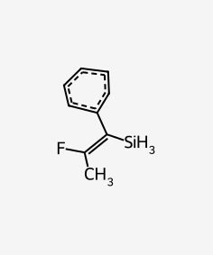 CC(F)=C([SiH3])c1ccccc1